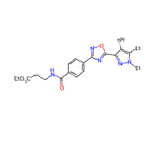 CCCc1c(-c2nc(-c3ccc(C(=O)NCCC(=O)OCC)cc3)no2)nn(CC)c1CC